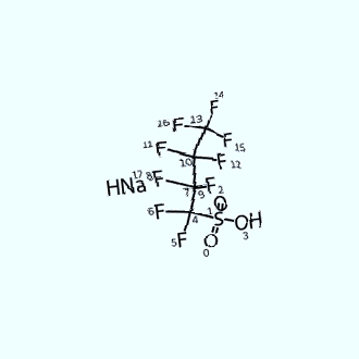 O=S(=O)(O)C(F)(F)C(F)(F)C(F)(F)C(F)(F)F.[NaH]